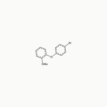 CCc1ccc(Oc2ccccc2OC)cc1